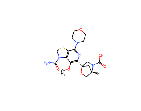 COc1c([C@]23C[C@@H](CO2)N(C(=O)O)C3)nc(N2CCOCC2)c2c1N(C(N)=O)[CH]S2